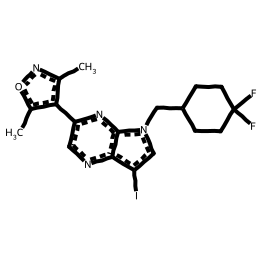 Cc1noc(C)c1-c1cnc2c(I)cn(CC3CCC(F)(F)CC3)c2n1